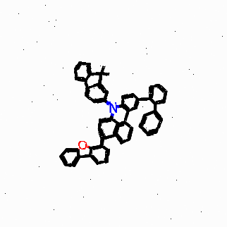 CC1(C)c2ccccc2-c2ccc(N(c3ccc(-c4cccc5c4oc4ccccc45)cc3)c3ccc(-c4ccccc4-c4ccccc4)cc3-c3ccccc3)cc21